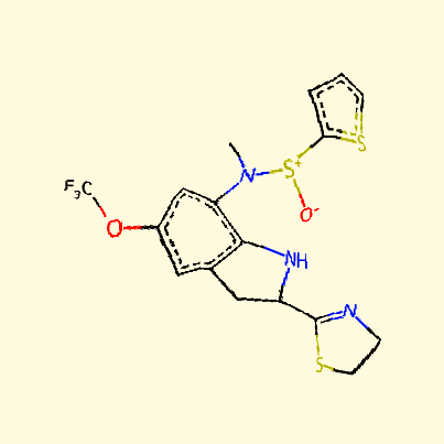 CN(c1cc(OC(F)(F)F)cc2c1NC(C1=NCCS1)C2)[S+]([O-])c1cccs1